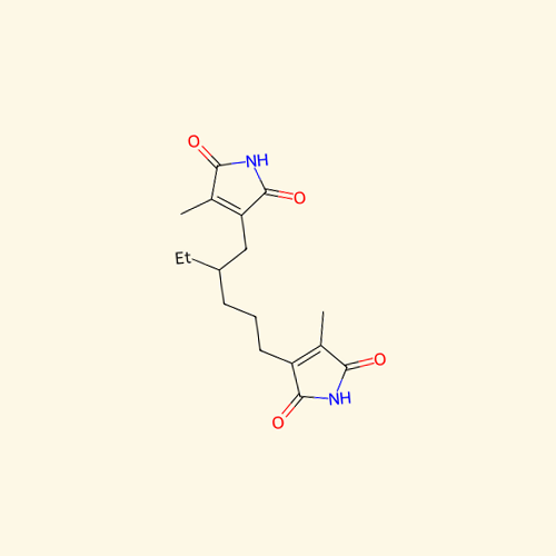 CCC(CCCC1=C(C)C(=O)NC1=O)CC1=C(C)C(=O)NC1=O